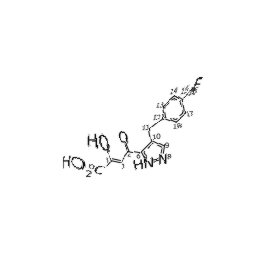 O=C(O)C(O)=CC(=O)c1[nH]ncc1Cc1ccc(F)cc1